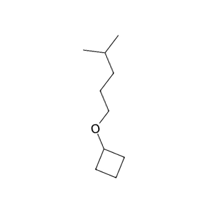 CC(C)CCCOC1CCC1